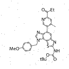 CCC(=O)c1cc(C)c(-c2cc3nc(NC(=O)OC(C)(C)C)sc3c3c2ncn3Cc2ccc(OC)cc2)cn1